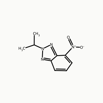 CC(C)n1nc2cccc([N+](=O)[O-])c2n1